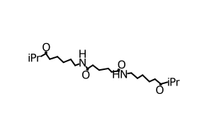 CC(C)C(=O)CCCCCNC(=O)CCCCC(=O)NCCCCCC(=O)C(C)C